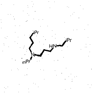 CCCN(CCCNCC(C)C)CCCC(C)C